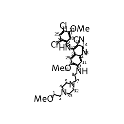 COCCN1CCN(CCNc2cc3ncc(C#N)c(Nc4cc(OC)c(Cl)cc4Cl)c3cc2OC)CC1